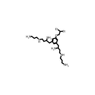 CCC(CC)COc1cc(CC(N)CCNCCCN)cc(CC(N)CCNCCCN)c1